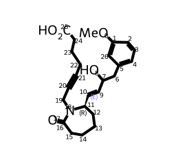 COc1cccc(CC(O)/C=C/[C@H]2CCCCC(=O)N2CC#CCCCC(=O)O)c1